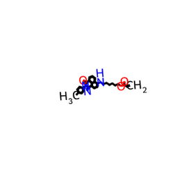 C=CC(=O)OCCCCCCNc1ccc2c3c1cccc3c(=O)n1c3ccc(C)cc3nc21